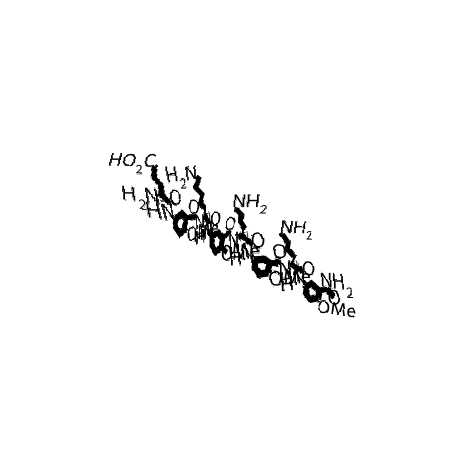 COc1ccc(NC(=O)[C@H](CCCCN)NC(=O)c2cc(NC(=O)[C@H](CCCCN)NC(=O)c3cc(NC(=O)[C@H](CCCCCN)NC(=O)c4cc(NC(=O)[C@@H](N)CCCC(=O)O)ccc4OC)ccc3OC)ccc2OC)cc1C(N)=O